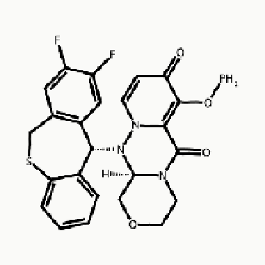 O=C1c2c(OP)c(=O)ccn2N([C@H]2c3cc(F)c(F)cc3CSc3ccccc32)[C@@H]2COCCN12